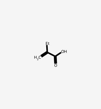 C=C(CC)C(=O)O